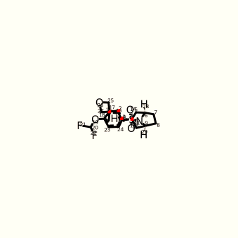 CC1(CN[C@@H]2C[C@H]3CC[C@@H](C2)N3S(=O)(=O)c2ccc(OC(F)F)cc2)COC1